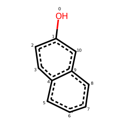 Oc1ccc2c[c]ccc2c1